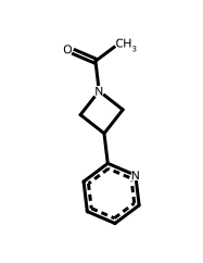 CC(=O)N1CC(c2ccccn2)C1